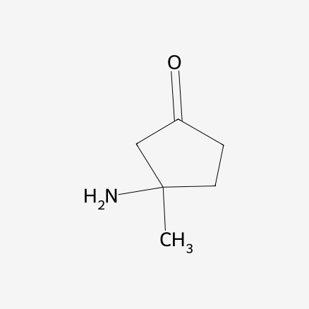 CC1(N)CCC(=O)C1